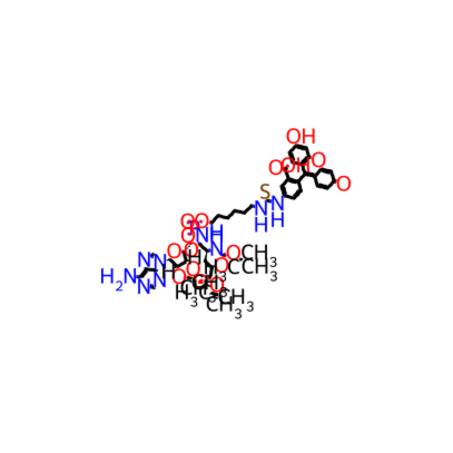 CC(C)(C)OC(=O)CC[C@H](NC(=O)OC(C)(C)C)C(=O)NP(=O)(OCCCCCCNC(=S)Nc1ccc(-c2c3ccc(=O)cc-3oc3cc(O)ccc23)c(C(=O)O)c1)OC[C@H]1O[C@@H](n2cnc3c(N)ncnc32)[C@@H]2OC(C)(C)O[C@@H]21